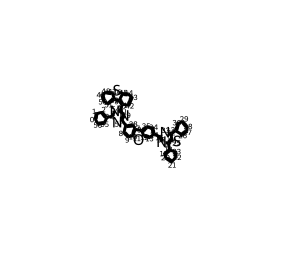 c1ccc(-c2nc(-c3ccc4oc5cc(-c6nc(-c7ccccc7)c7sc8ccccc8c7n6)ccc5c4c3)nc(-c3cccc4sc5ccccc5c34)n2)cc1